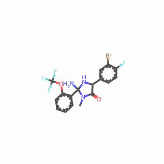 CN1C(=O)C(c2ccc(F)c(Br)c2)NC1(N)c1ccccc1OC(F)(F)F